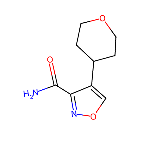 NC(=O)c1nocc1C1CCOCC1